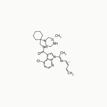 C=C/C=C\N=C(C)n1cc(C(=O)NCC2(N3CCN[C@@H](C)C3)CCCCC2)c2c(Cl)ccnc21